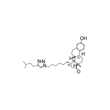 CC(C)CCc1cn(CCCCCC[C@@H]2CC(=O)[C@@]3(C)CC[C@@H]4c5ccc(O)cc5CC[C@H]4[C@H]23)nn1